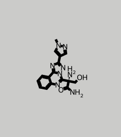 Cn1cc(-c2nc3c4ccccc4nc([C@@](N)(CO)C(N)=O)n3n2)cn1